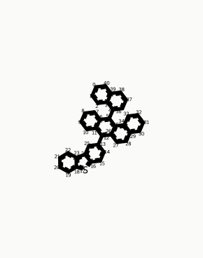 c1ccc2c(-c3c4ccccc4c(-c4ccc5sc6ccccc6c5c4)c4ccc5ccccc5c34)cccc2c1